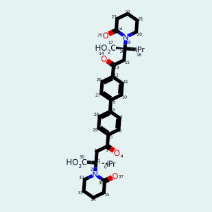 CC(C)[C@@](CC(=O)c1ccc(-c2ccc(C(=O)C[C@@](C(=O)O)(C(C)C)N3CCCCC3=O)cc2)cc1)(C(=O)O)N1CCCCC1=O